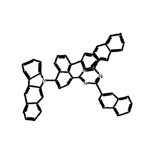 c1ccc(-c2cccc3c(-n4c5ccccc5c5cc6ccccc6cc54)ccc(-c4nc(-c5ccc6ccccc6c5)nc(-c5ccc6ccccc6c5)n4)c23)cc1